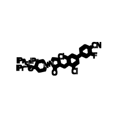 CC(C)[Si](OC1CCN(N2CCC(Cc3c(Cl)cc(-c4ccc(C#N)c(F)c4)cc3Cl)C2=O)CC1)(C(C)C)C(C)C